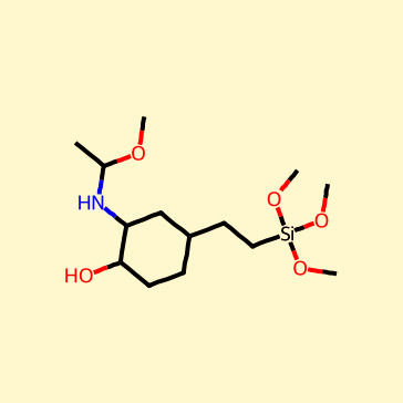 COC(C)NC1CC(CC[Si](OC)(OC)OC)CCC1O